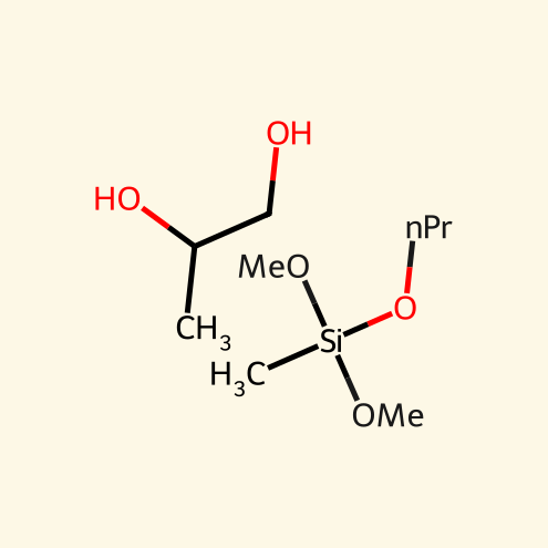 CC(O)CO.CCCO[Si](C)(OC)OC